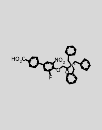 O=C(O)c1ccc(-c2cc(F)c(OCC(=O)[N+](Cc3ccccc3)(Cc3ccccc3)Cc3ccccc3)c([N+](=O)[O-])c2)cc1